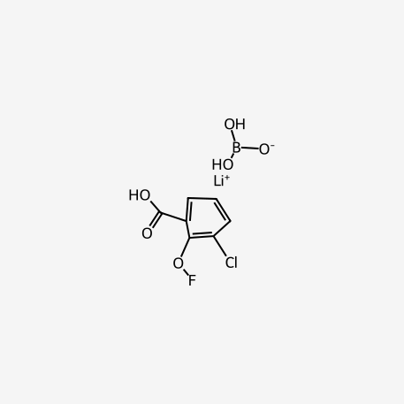 O=C(O)c1cccc(Cl)c1OF.[Li+].[O-]B(O)O